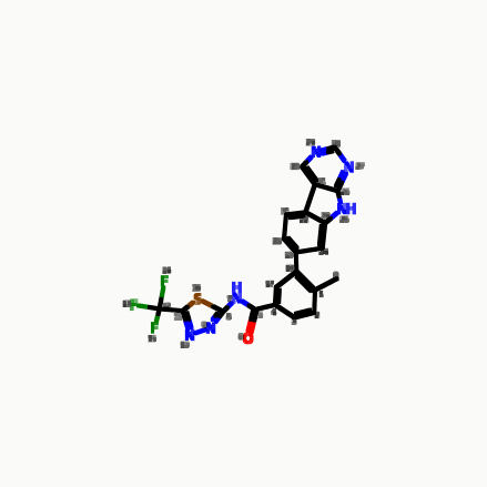 Cc1ccc(C(=O)Nc2nnc(C(F)(F)F)s2)cc1-c1ccc2c(c1)[nH]c1ncncc12